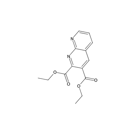 CCOC(=O)c1cc2cccnc2nc1C(=O)OCC